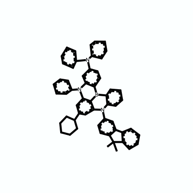 CC1(C)c2ccccc2-c2cc(N3c4ccccc4B4c5ccc(N(c6ccccc6)c6ccccc6)cc5N(c5ccccc5)c5cc(C6CCCCC6)cc3c54)ccc21